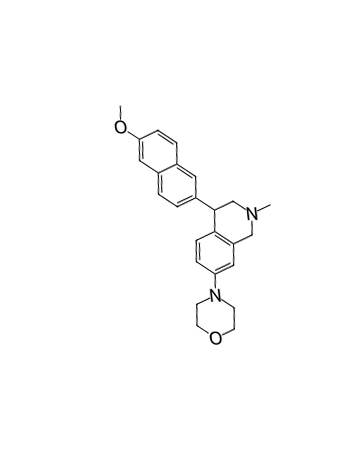 COc1ccc2cc(C3CN(C)Cc4cc(N5CCOCC5)ccc43)ccc2c1